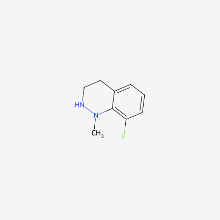 CN1NCCc2cccc(F)c21